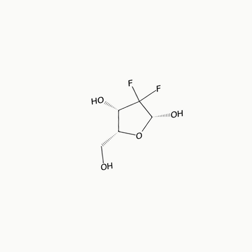 OC[C@H]1O[C@@H](O)C(F)(F)[C@H]1O